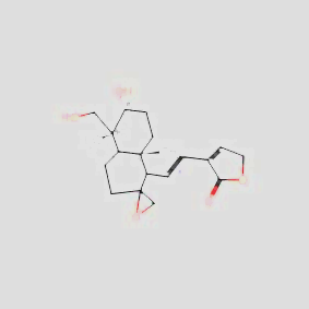 C[C@]12CC[C@@H](O)[C@@](C)(CO)C1CCC1(CO1)C2/C=C/C1=CCOC1=O